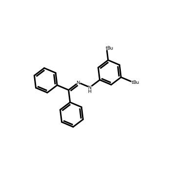 CC(C)(C)c1cc(NN=C(c2ccccc2)c2ccccc2)cc(C(C)(C)C)c1